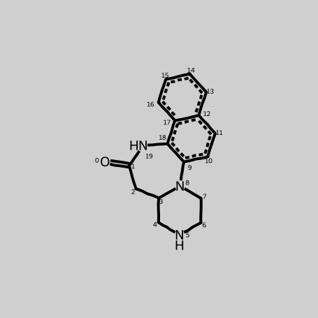 O=C1CC2CNCCN2c2ccc3ccccc3c2N1